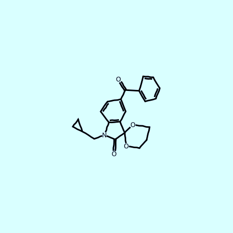 O=C(c1ccccc1)c1ccc2c(c1)C1(OCCCO1)C(=O)N2CC1CC1